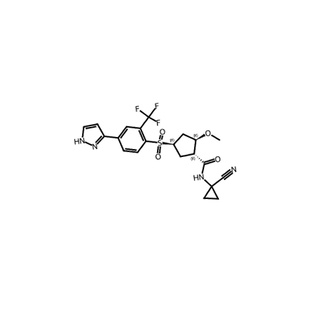 CO[C@@H]1C[C@H](S(=O)(=O)c2ccc(-c3cc[nH]n3)cc2C(F)(F)F)C[C@H]1C(=O)NC1(C#N)CC1